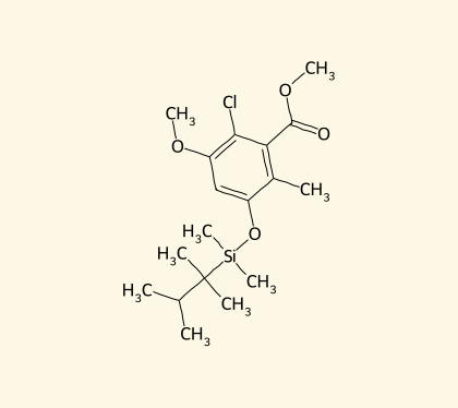 COC(=O)c1c(C)c(O[Si](C)(C)C(C)(C)C(C)C)cc(OC)c1Cl